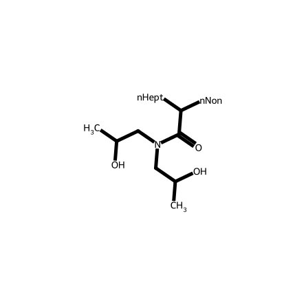 CCCCCCCCCC(CCCCCCC)C(=O)N(CC(C)O)CC(C)O